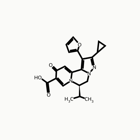 CC(C)[C@@H]1Cn2nc(C3CC3)c(-c3ccco3)c2-c2cc(=O)c(C(=O)O)cn21